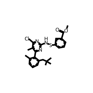 COC(=O)c1cccc(SNc2nc(Cl)c(C)c(-c3c(C)cccc3CC(C)(C)C)n2)c1